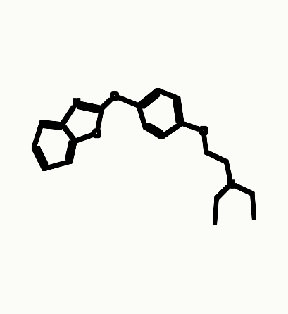 CCN(CC)CCOc1ccc(Oc2nc3ccccc3o2)cc1